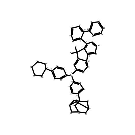 CC1(C)c2cc(N(c3ccc(C4CCCCC4)cc3)c3ccc(C45CC6CC(CC(C6)C4)C5)cc3)ccc2-c2cccc(-c3ccccc3-c3ccccc3)c21